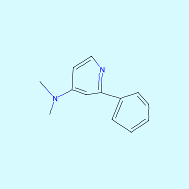 CN(C)c1ccnc(-c2ccccc2)c1